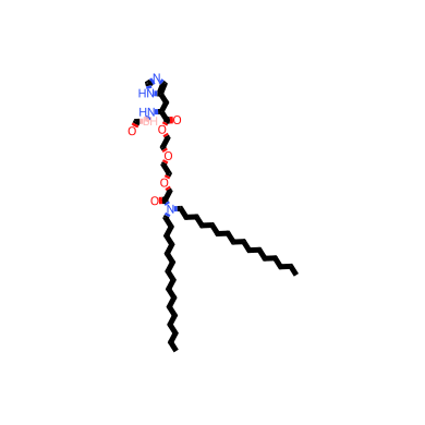 CCCCCCCCCCCCCCCCN(CCCCCCCCCCCCCCCC)C(=O)COCCOCCOC(=O)C(Cc1cnc[nH]1)NBC=O